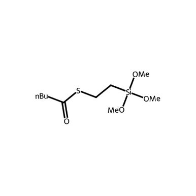 CCCCC(=O)SCC[Si](OC)(OC)OC